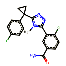 Cn1c(-c2cc(C(N)=O)ccc2Cl)nnc1C1(c2ccc(F)cc2)CC1